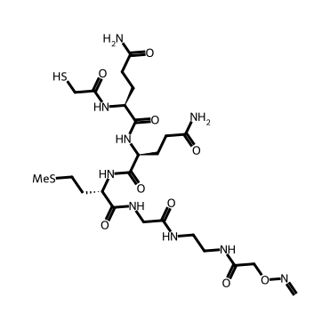 C=NOCC(=O)NCCNC(=O)CNC(=O)[C@H](CCSC)NC(=O)[C@H](CCC(N)=O)NC(=O)[C@H](CCC(N)=O)NC(=O)CS